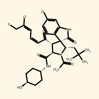 C=C(/C=C\C=C(\Cl)CF)[C@H]1[C@H](C(=O)N[C@H]2CC[C@H](O)CC2)N(C(C)=O)[C@@H](CC(C)(C)C)[C@@]12C(=O)Nc1cc(Cl)ccc12